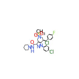 CS(=O)(=O)N1CC(=Cc2ccc(F)cc2)c2c(c(C(=O)NN3CCCCC3)nn2-c2ccc(Cl)cc2Cl)C1